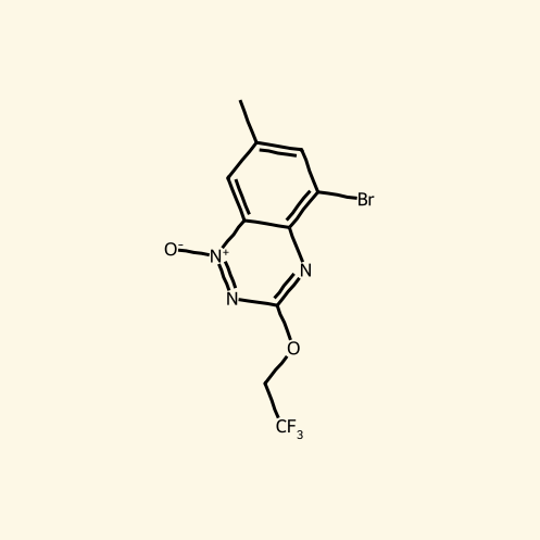 Cc1cc(Br)c2nc(OCC(F)(F)F)n[n+]([O-])c2c1